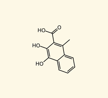 Cc1c(C(=O)O)c(O)c(O)c2ccccc12